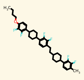 CCCCOc1ccc(C2CCC(c3ccc(CCC4CCC(c5ccc(C)c(F)c5F)CC4)c(F)c3F)CC2)c(F)c1F